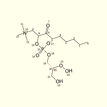 CCCCCCC(=O)C(C[N+](C)(C)C)OP(=O)([O-])OC[C@@H](CO)OO